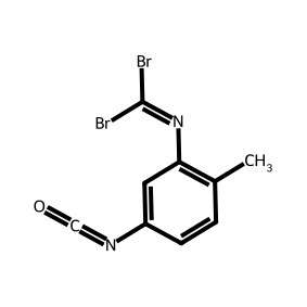 Cc1ccc(N=C=O)cc1N=C(Br)Br